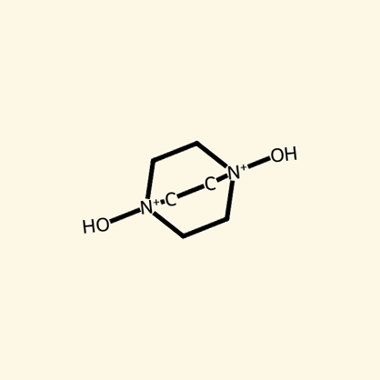 O[N+]12CC[N+](O)(CC1)CC2